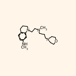 CNc1ccc2c(c1)N(CCN(C)CCCN1CCOCC1)CCC2